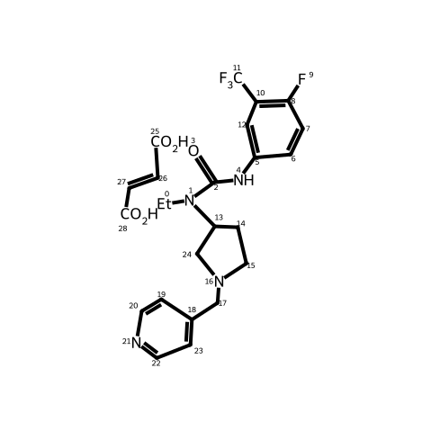 CCN(C(=O)Nc1ccc(F)c(C(F)(F)F)c1)C1CCN(Cc2ccncc2)C1.O=C(O)C=CC(=O)O